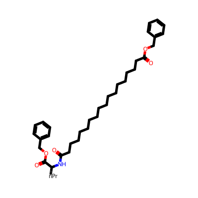 CCCC(NC(=O)CCCCCCCCCCCCCCCCC(=O)OCc1ccccc1)C(=O)OCc1ccccc1